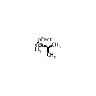 C=C(C)CCCC.CCCCCC